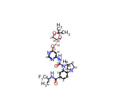 CC(NC(=O)c1ccc2c(c1)N(C(=O)Nc1cc(OC[C@@H]3COC(C)(C)O3)ncn1)[C@H]1CCN2C1)C(F)(F)F